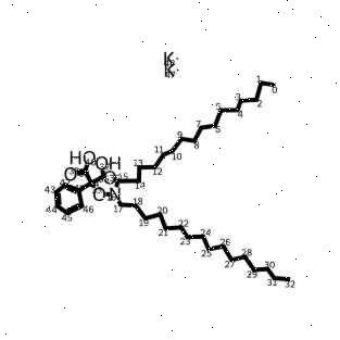 CCCCCCCCCCCCCCCCN(CCCCCCCCCCCCCCCC)OC(C(=O)O)(C(=O)O)c1ccccc1.[K].[K]